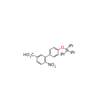 CC(C)[Si](Oc1ccc(-c2cc(C(=O)O)ccc2[N+](=O)[O-])cc1)(C(C)C)C(C)C